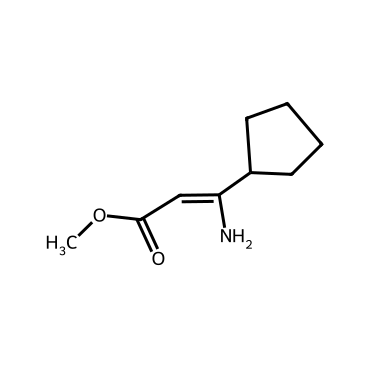 COC(=O)/C=C(\N)C1CCCC1